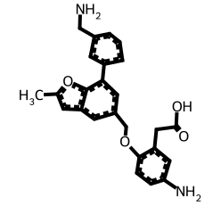 Cc1cc2cc(COc3ccc(N)cc3CC(=O)O)cc(-c3cccc(CN)c3)c2o1